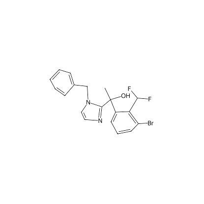 CC(O)(c1cccc(Br)c1C(F)F)c1nccn1Cc1ccccc1